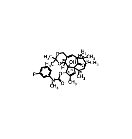 CC1=C[C@]23C(=O)[C@@H](C=C4COC(C)(C)O[C@H]4[C@]2(O)[C@H]1OC(=O)N(C)c1cccc(F)c1)C(C)(C)[C@@H](C)C[C@H]3C